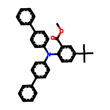 COC(=O)c1cc(C(C)(C)C)ccc1N(c1ccc(-c2ccccc2)cc1)c1ccc(-c2ccccc2)cc1